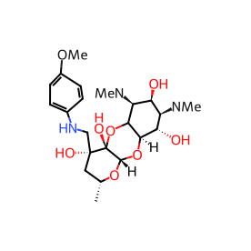 CN[C@@H]1[C@H](O)[C@H](NC)C2O[C@]3(O)[C@@H](O[C@H](C)C[C@@]3(O)CNc3ccc(OC)cc3)O[C@@H]2[C@H]1O